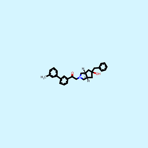 Cc1cccc(-c2cccc(C(=O)CN3C[C@@H]4CC(O)(Cc5ccccc5)C[C@@H]4C3)c2)c1